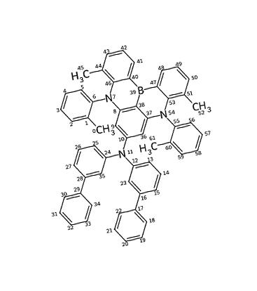 Cc1ccccc1N1c2cc(N(c3cccc(-c4ccccc4)c3)c3cccc(-c4ccccc4)c3)cc3c2B(c2cccc(C)c21)c1cccc(C)c1N3c1ccccc1C